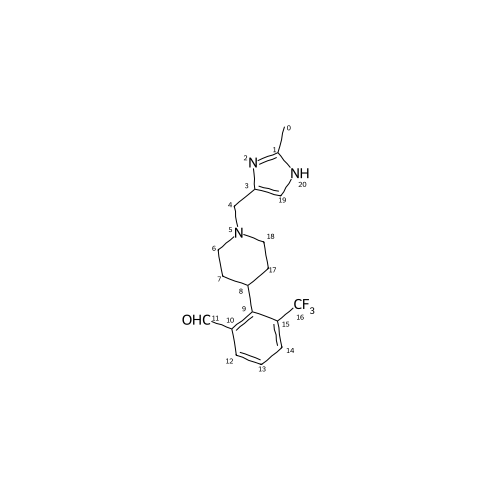 Cc1nc(CN2CCC(c3c(C=O)cccc3C(F)(F)F)CC2)c[nH]1